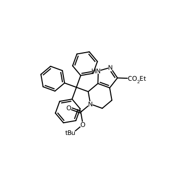 CCOC(=O)c1n[nH]c2c1CCN(C(=O)OC(C)(C)C)C2C(c1ccccc1)(c1ccccc1)c1ccccc1